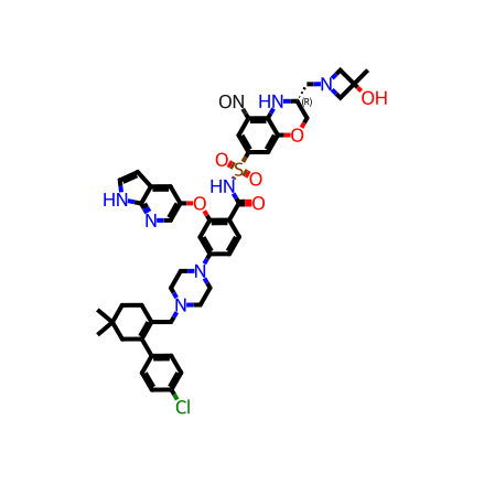 CC1(C)CCC(CN2CCN(c3ccc(C(=O)NS(=O)(=O)c4cc(N=O)c5c(c4)OC[C@@H](CN4CC(C)(O)C4)N5)c(Oc4cnc5[nH]ccc5c4)c3)CC2)=C(c2ccc(Cl)cc2)C1